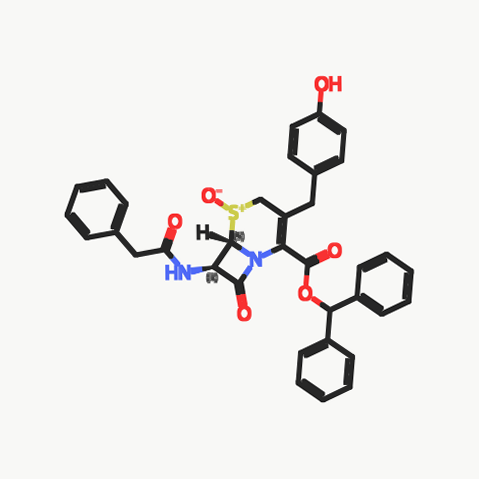 O=C(Cc1ccccc1)N[C@@H]1C(=O)N2C(C(=O)OC(c3ccccc3)c3ccccc3)=C(Cc3ccc(O)cc3)C[S+]([O-])[C@@H]12